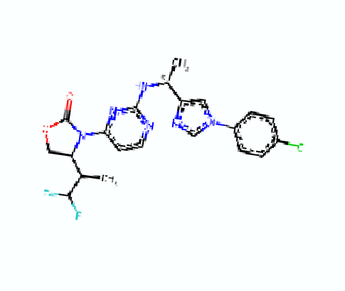 CC(C(F)F)C1COC(=O)N1c1ccnc(N[C@@H](C)c2cn(-c3ccc(Cl)cc3)cn2)n1